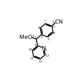 COC(c1ccc(C#N)cc1)c1ccccn1